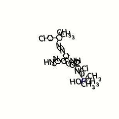 CCC(C)/C(COc1ncc(S(=O)(=O)NC(=O)c2ccc(N3CCN(CC4=C(c5ccc(Cl)cc5)CC(C)(C)CC4)CC3)cc2Oc2cnc3[nH]ccc3c2)cc1Cl)=C(\C)O